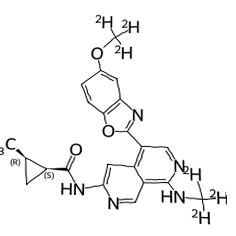 [2H]C([2H])([2H])Nc1ncc(-c2nc3cc(OC([2H])([2H])[2H])ccc3o2)c2cc(NC(=O)[C@H]3C[C@H]3C)ncc12